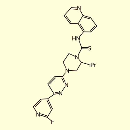 CC(C)C1CN(c2ccc(-c3ccnc(F)c3)nn2)CCN1C(=S)Nc1cccc2ncccc12